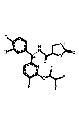 O=C1NCC(C(=O)N[C@@H](c2ccc(F)c(Cl)c2)c2ccc(F)c(OC(F)C(F)F)n2)O1